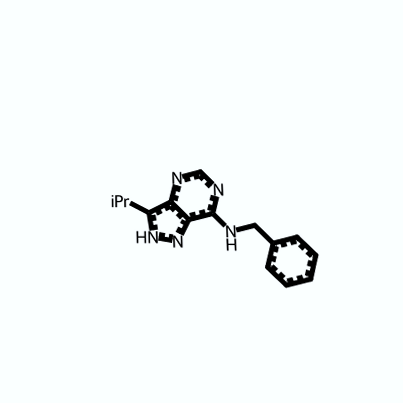 CC(C)c1[nH]nc2c(NCc3ccccc3)ncnc12